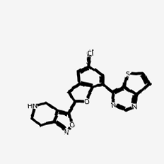 Clc1cc2c(c(-c3ncnc4ccsc34)c1)OC(c1onc3c1CNCC3)C2